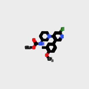 Cc1cc(-c2cnc(Cl)cc2N2CCC[C@H](NC(=O)OC(C)(C)C)C2)ccc1OC(F)(F)F